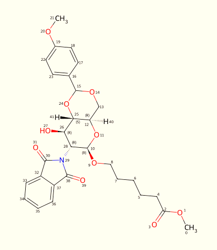 COC(=O)CCCCCO[C@@H]1O[C@@H]2COC(c3ccc(OC)cc3)O[C@H]2[C@H](O)[C@H]1N1C(=O)c2ccccc2C1=O